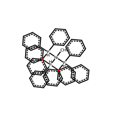 O=[CH][Ni]([PH](c1ccccc1)(c1ccccc1)c1ccccc1)([PH](c1ccccc1)(c1ccccc1)c1ccccc1)[PH](c1ccccc1)(c1ccccc1)c1ccccc1